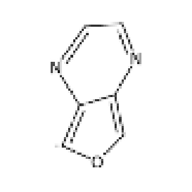 [c]1occ2nccnc12